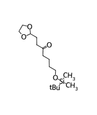 CC(C)(C)[Si](C)(C)OCCCCC(=O)CCC1OCCO1